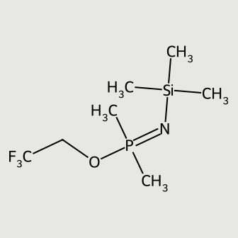 C[Si](C)(C)N=P(C)(C)OCC(F)(F)F